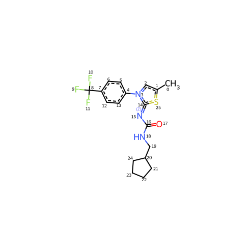 Cc1cn(-c2ccc(C(F)(F)F)cc2)/c(=N/C(=O)NCC2CCCC2)s1